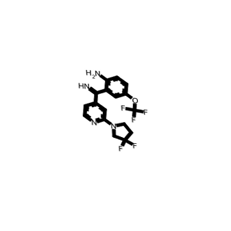 N=C(c1ccnc(N2CCC(F)(F)C2)c1)c1cc(OC(F)(F)F)ccc1N